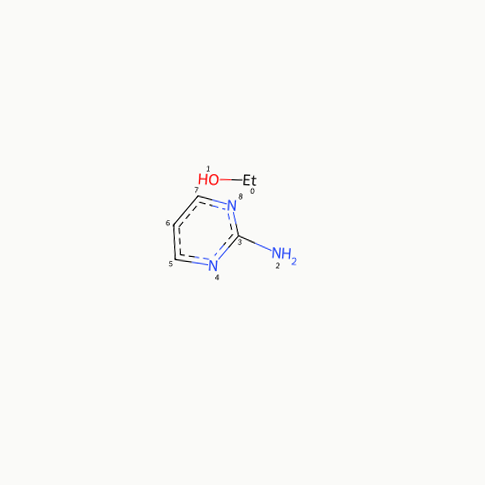 CCO.Nc1ncccn1